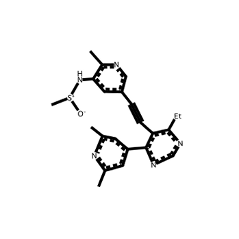 CCc1ncnc(-c2cc(C)nc(C)c2)c1C#Cc1cnc(C)c(N[S+](C)[O-])c1